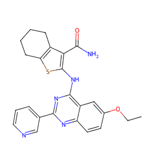 CCOc1ccc2nc(-c3cccnc3)nc(Nc3sc4c(c3C(N)=O)CCCC4)c2c1